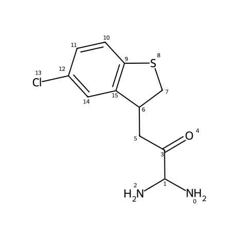 NC(N)C(=O)CC1CSc2ccc(Cl)cc21